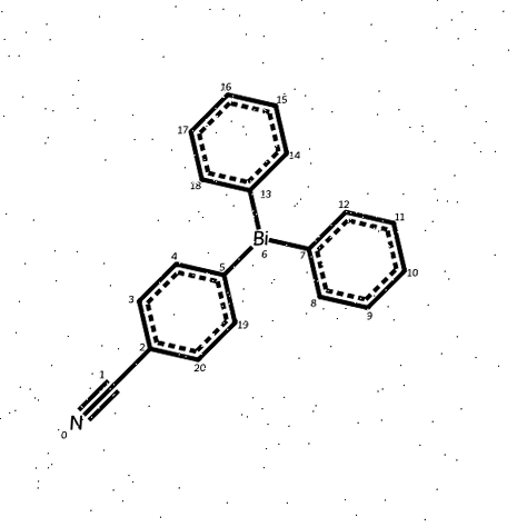 N#Cc1cc[c]([Bi]([c]2ccccc2)[c]2ccccc2)cc1